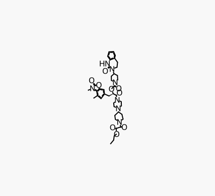 CCCOC(=O)C(=O)N1CCC(N2CCN(C(=O)[C@@H](Cc3cc(C)c4c(c3)oc(=O)n4C)OC(=O)N3CCC(N4CCc5ccccc5NC4=O)CC3)CC2)CC1